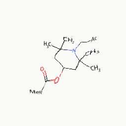 CNC(=O)OC1CC(C)(C)N(CC(C)=O)C(C)(C)C1